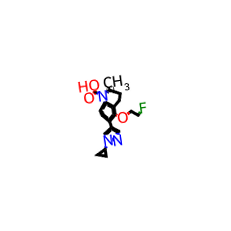 C[C@H]1CCc2c(ccc(-c3cnn(C4CC4)c3)c2OCCF)N1C(=O)O